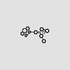 C1=Cc2ccccc2C2(c3ccccc31)c1ccccc1-c1cc(-c3ccc(N(c4ccc(-c5ccccc5)cc4)c4cccc5c4oc4ccccc45)cc3)ccc12